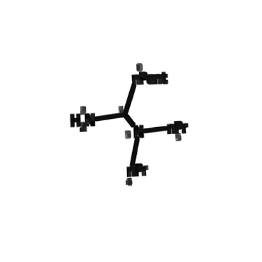 CCCCCC(N)N(CCC)CCC